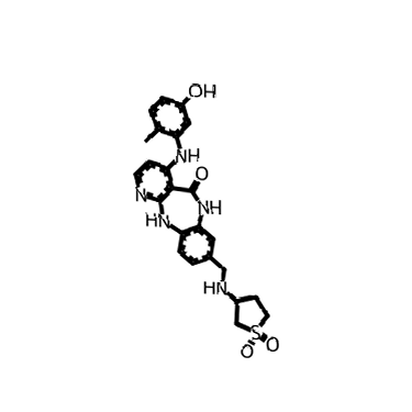 Cc1ccc(O)cc1Nc1ccnc2c1C(=O)Nc1cc(CNC3CCS(=O)(=O)C3)ccc1N2